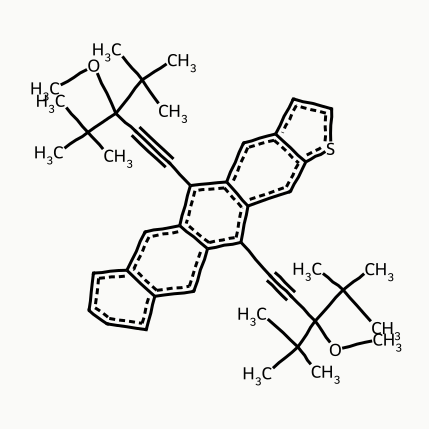 COC(C#Cc1c2cc3ccccc3cc2c(C#CC(OC)(C(C)(C)C)C(C)(C)C)c2cc3sccc3cc12)(C(C)(C)C)C(C)(C)C